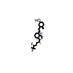 C=C1CC[C@H](O)C/C1=C/C=C1\CCC[C@]2(C)[C@@H]([C@H](C)CCC(F)C(C)(C)F)CC[C@@H]12